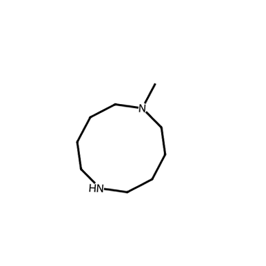 CN1CCCCNCCCC1